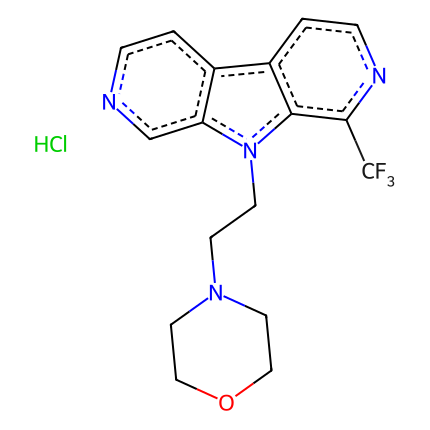 Cl.FC(F)(F)c1nccc2c3ccncc3n(CCN3CCOCC3)c12